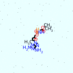 CC(C)OC(=O)CN[PH](=O)OCC1CC(C)C(n2cnc3c(N)nc(N)nc32)O1